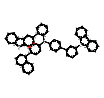 c1cc(-c2ccc(N(c3ccc(-c4cccc5ccccc45)cc3)c3ccccc3-c3ccc4oc5ccccc5c4c3)cc2)cc(-n2c3ccccc3c3ccccc32)c1